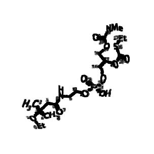 CCOC(C)(C)CC(=O)NCCOP(=O)(O)OCC(COC(=O)NC)OC(=O)SCC